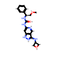 COC[C@@H](NC(=O)Nc1cc2[nH]nc(NC3COC3)c2cn1)c1ccccc1